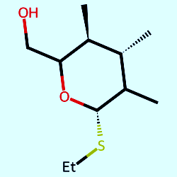 CCS[C@@H]1OC(CO)[C@@H](C)[C@H](C)C1C